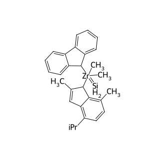 CC1=Cc2c(C(C)C)ccc(C)c2[CH]1[Zr]([CH3])([CH3])(=[SiH2])[CH]1c2ccccc2-c2ccccc21